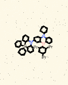 CC(C)c1cc(C(C)C)c(B2c3ccccc3N(c3ccccc3)c3ccc(N4c5ccccc5[Si](c5ccccc5)(c5ccccc5)c5ccccc54)cc32)c(C(C)C)c1